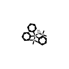 C[Si](C)(C)[SiH2]P(c1ccccc1)(c1ccccc1)(c1ccccc1)[Si](C)(C)C